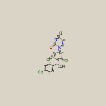 N#CC(c1ccc(Cl)cc1)c1c(Cl)cc(-n2ncc(Cl)nc2=O)cc1Cl